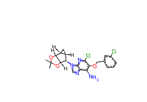 CC1(C)O[C@@H]2[C@@H]3C[C@@H]3[C@@H](n3cnc4c(N)c(OCc5cccc(Cl)c5)c(Cl)nc43)[C@@H]2O1